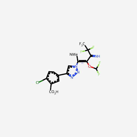 CN/C(=C(/OC(F)F)C(=N)C(F)(F)C(F)(F)F)n1cc(-c2ccc(Cl)c(C(=O)O)c2)nn1